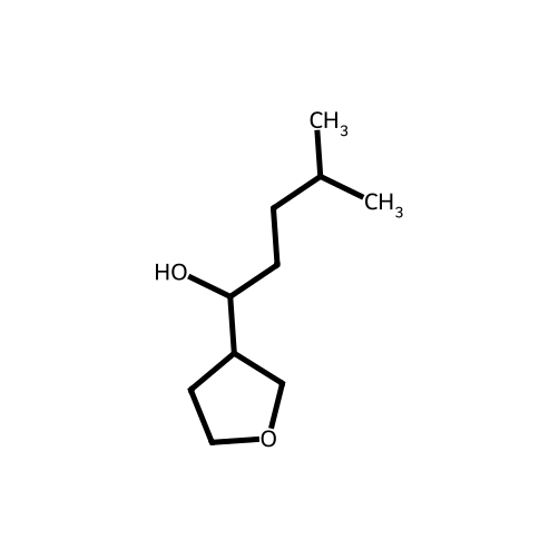 CC(C)CCC(O)C1CCOC1